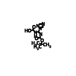 CC(C)(C)OC(=O)N=C(NC(=O)O)n1cncn1